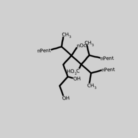 CCCCCCCCC(CC(O)CO)(C(C)CCCCC)C(C(=O)O)(C(C)CCCCC)C(C)CCCCC